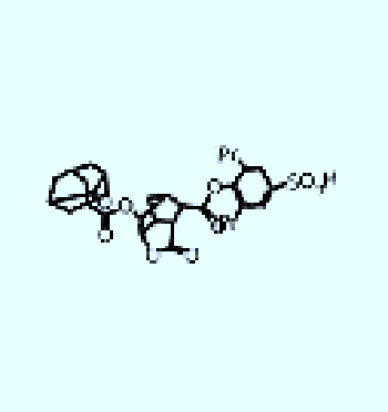 CC(C)C1=C(OC(=O)C2C3CC4C(OC(=O)C42)C3OC(=O)C23CC4CC(C2)C(=O)C(C4)C3)C(C(C)C)CC(S(=O)(=O)O)=C1